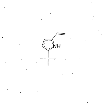 C=Cc1ccc(C(C)(C)C)[nH]1